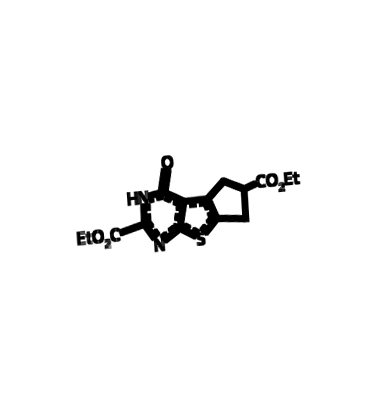 CCOC(=O)c1nc2sc3c(c2c(=O)[nH]1)CC(C(=O)OCC)C3